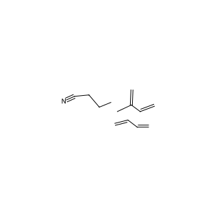 C=CC(=C)C.C=CC=C.CCCC#N